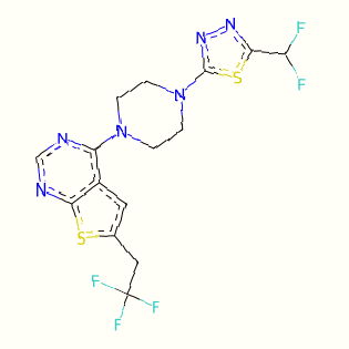 FC(F)c1nnc(N2CCN(c3ncnc4sc(CC(F)(F)F)cc34)CC2)s1